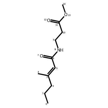 CCC/C(C)=C/C(=O)NCCC(=O)OC